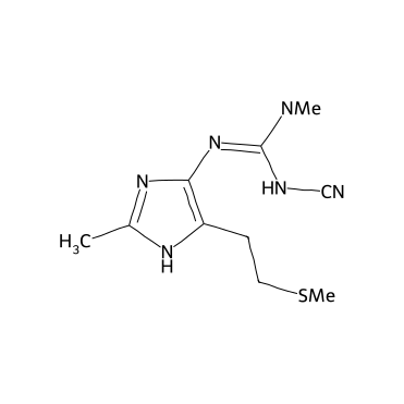 CNC(=Nc1nc(C)[nH]c1CCSC)NC#N